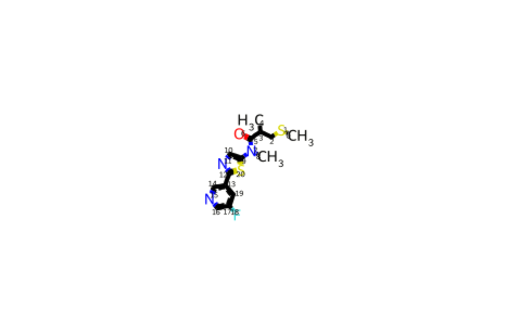 CSCC(C)C(=O)N(C)c1cnc(-c2cncc(F)c2)s1